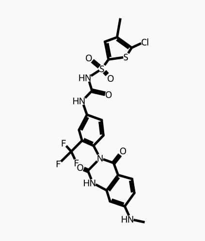 CNc1ccc2c(=O)n(-c3ccc(NC(=O)NS(=O)(=O)c4cc(C)c(Cl)s4)cc3C(F)(F)F)c(=O)[nH]c2c1